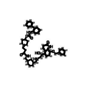 O=C(CCN1CCC(OC(=O)Nc2ccccc2-c2ccccc2)CC1)NCC1CCCC(CNC[C@H](O)c2ccc(OCc3ccccc3)c3[nH]c(=O)ccc23)C1